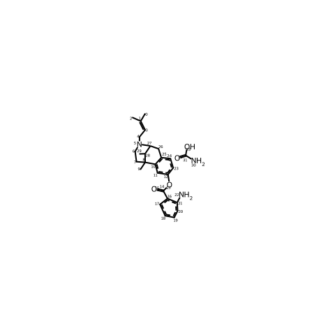 CC(C)=CCN1CCC2(C)c3cc(OC(=O)c4ccccc4N)ccc3CC1C2C.NC(=O)O